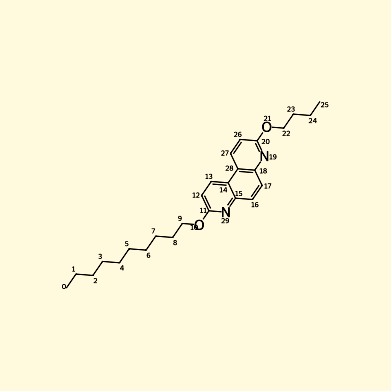 CCCCCCCCCCOc1ccc2c(ccc3nc(OCCCC)ccc32)n1